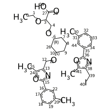 CCOC(CO[C@@H]1CCC[C@H](OCc2nc(-c3cccc(C)c3)oc2C)C1)C(=O)O.Cc1cccc(-c2nc(CI)c(C)o2)c1